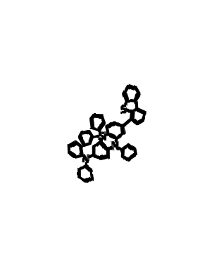 c1ccc(N(c2ccccc2)c2ccc3c(c2)[Si](c2ccccc2)(c2ccccc2)c2ccc(-c4cccc5c4sc4ccccc45)cc2N3c2ccccc2)cc1